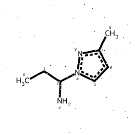 CCC(N)n1ccc(C)n1